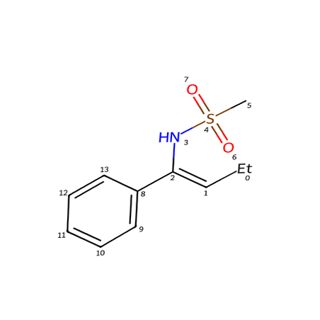 CCC=C(NS(C)(=O)=O)c1ccccc1